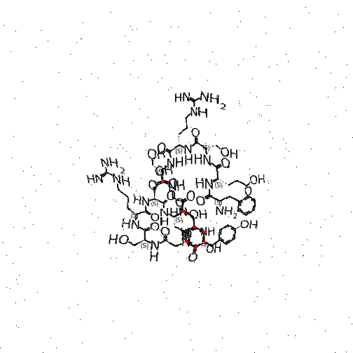 N=C(N)NCCC[C@H](NC(=O)[C@H](CO)NC(=O)CNC(=O)[C@H](Cc1ccc(O)cc1)NC(=O)CNC(=O)CNC(=O)[C@H](CO)NC(=O)[C@H](CCCNC(=N)N)NC(=O)[C@H](CO)NC(=O)[C@H](CCC(=O)O)NC(=O)[C@@H](N)Cc1ccccc1)C(=O)N[C@@H](CC(=O)O)C(=O)N[C@@H](Cc1ccc(O)cc1)C(=O)O